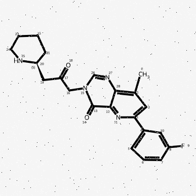 Cc1cc(-c2cccc(F)c2)nc2c(=O)n(CC(=O)C[C@@H]3CCCCN3)cnc12